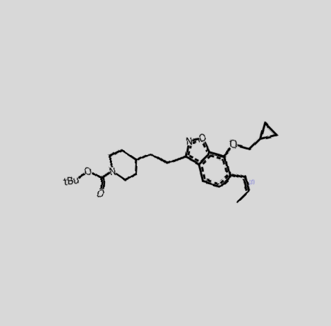 C/C=C\c1ccc2c(CCC3CCN(C(=O)OC(C)(C)C)CC3)noc2c1OCC1CC1